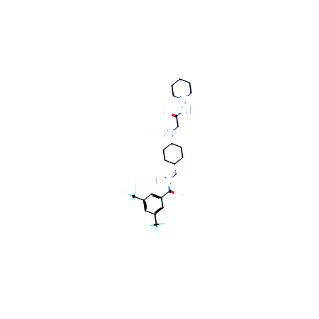 O=C(CN[C@H]1CC[C@H](CNC(=O)c2cc(C(F)(F)F)cc(C(F)(F)F)c2)CC1)NN1CCCCC1